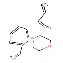 C1COCCN1.C=CC=C.C=Cc1ccccc1